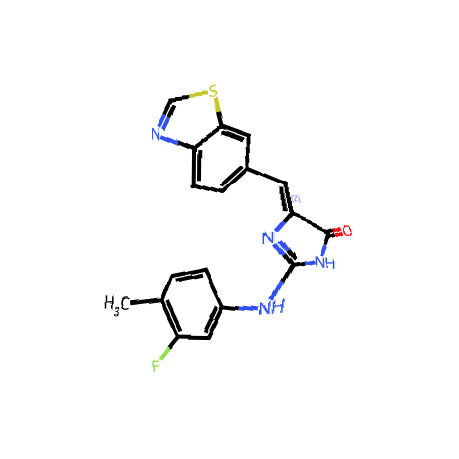 Cc1ccc(NC2=N/C(=C\c3ccc4ncsc4c3)C(=O)N2)cc1F